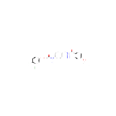 O=C(COc1ccc(Cl)c(F)c1)NC1CCC(CNC(=O)c2ccc(OC(F)(F)F)cc2)CC1